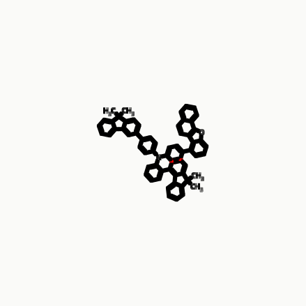 CC1(C)c2ccccc2-c2cc(-c3ccc(N(c4ccc(-c5cccc6oc7c8ccccc8ccc7c56)cc4)c4ccccc4-c4cccc5c4-c4ccccc4C5(C)C)cc3)ccc21